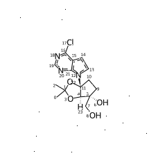 CC1(C)O[C@@H]2[C@](O)(CO)CC[C@@]2(n2ccc3c(Cl)ncnc32)O1